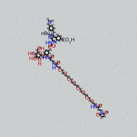 CCCCc1nc2c(NC(=O)OCc3ccc(O[C@H]4O[C@H](CO)[C@@H](O)[C@H](O)[C@@H]4O)c(NC(=O)CCNC(=O)CCOCCOCCOCCOCCOCCOCCOCCOCCNC(=O)CCN4C(=O)C=CC4=O)c3)nc3cc(C(=O)O)ccc3c2n1Cc1ccc(CN(C)C)cc1